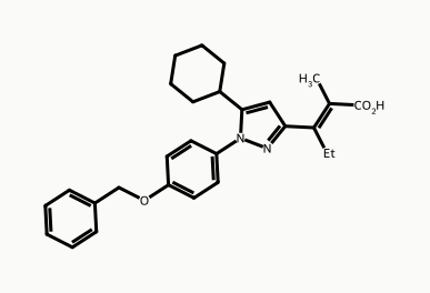 CCC(=C(C)C(=O)O)c1cc(C2CCCCC2)n(-c2ccc(OCc3ccccc3)cc2)n1